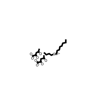 CC(=O)CC(=O)C(=O)[O-].CC(=O)CC(=O)C(=O)[O-].CCCCCCC[CH2][Sn+2][CH2]CCC